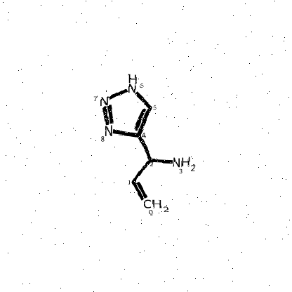 C=CC(N)c1c[nH]nn1